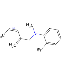 C=C(/C=C\C)CN(C)c1ccccc1C(C)C